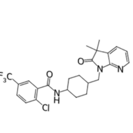 CC1(C)C(=O)N(CC2CCC(NC(=O)c3cc(C(F)(F)F)ccc3Cl)CC2)c2ncccc21